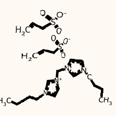 C=CCS(=O)(=O)[O-].C=CCS(=O)(=O)[O-].CCCCn1cc[n+](C[n+]2ccn(CCCC)c2)c1